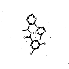 Cc1ncn(-c2nccnc2C(C)NC(=O)c2cc(Br)cc(Br)c2)n1